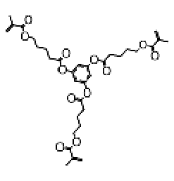 C=C(C)C(=O)OCCCCC(=O)Oc1cc(OC(=O)CCCCOC(=O)C(=C)C)cc(OC(=O)CCCCOC(=O)C(=C)C)c1